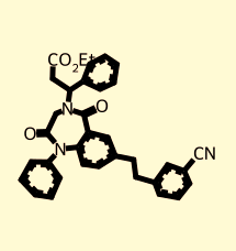 CCOC(=O)CC(c1ccccc1)N1CC(=O)N(c2ccccc2)c2ccc(CCc3cccc(C#N)c3)cc2C1=O